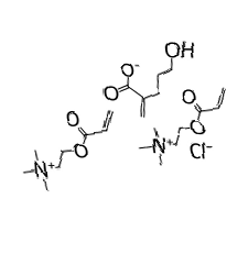 C=C(CCCO)C(=O)[O-].C=CC(=O)OCC[N+](C)(C)C.C=CC(=O)OCC[N+](C)(C)C.[Cl-]